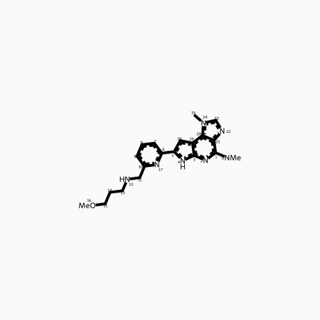 CNc1nc2[nH]c(-c3cccc(CNCCCOC)n3)cc2c2c1ncn2C